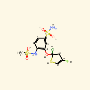 CS(=O)(=O)Nc1ccc(S(N)(=O)=O)cc1OC1(Cl)CC(F)=CS1